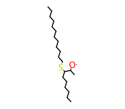 CCCCCCCCCCCCSC(CCCCCC)C(C)[O]